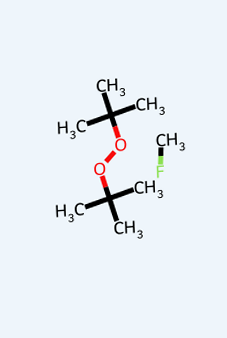 CC(C)(C)OOC(C)(C)C.CF